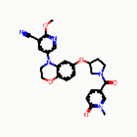 COc1ncc(N2CCOc3ccc(OC4CCN(C(=O)c5ccc(=O)n(C)c5)C4)cc32)cc1C#N